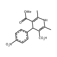 COC(=O)C1=C(C)NC(C)=C(C(=O)O)C1c1ccc([N+](=O)[O-])cc1